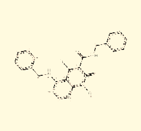 O=C(NCc1ccccc1)c1c(I)c2c(NCc3ccccc3)ncnc2n(O)c1=O